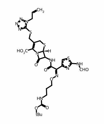 C=CCn1nnnc1SCC1=C(C(=O)O)N2C(=O)C(NC(=O)/C(=N\OCCCNC(=O)OC(C)(C)C)c3csc(NC=O)n3)[C@H]2SC1